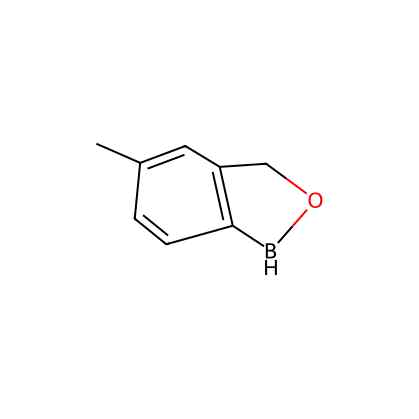 Cc1ccc2c(c1)COB2